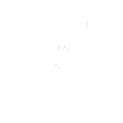 CC1=C(CN(S)C(=O)NCCO)CCC1